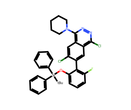 CC(C)(C)[Si](Oc1cccc(F)c1-c1cc2c(Cl)nnc(N3CCCCC3)c2cc1Cl)(c1ccccc1)c1ccccc1